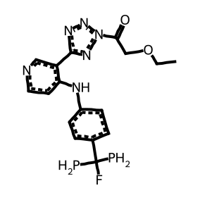 CCOCC(=O)n1nnc(-c2cnccc2Nc2ccc(C(F)(P)P)cc2)n1